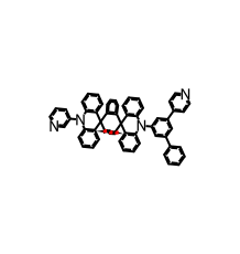 c1ccc(-c2cc(-c3ccncc3)cc(N3c4ccccc4C4(c5ccccc53)c3ccccc3C3(c5ccccc5N(c5cccnc5)c5ccccc53)c3ccccc34)c2)cc1